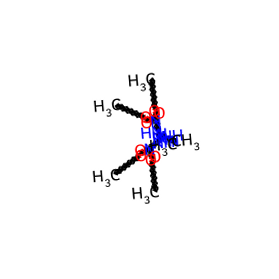 CCCCCCCCCCCCOC(=O)CCN(CCCNc1nc(NCCCN(CCC(=O)OCCCCCCCCCCCC)CCC(=O)OCCCCCCCCCCCC)nc(NCCN(C)C)n1)CCC(=O)OCCCCCCCCCCCC